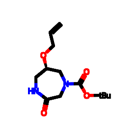 C=CCO[C@@H]1CNC(=O)CN(C(=O)OC(C)(C)C)C1